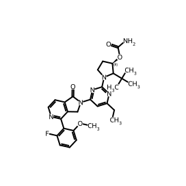 CCc1cc(N2Cc3c(ccnc3-c3c(F)cccc3OC)C2=O)nc(N2CC[C@@H](OC(N)=O)C2C(C)(C)C)n1